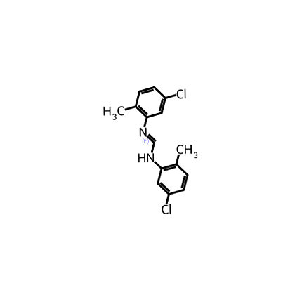 Cc1ccc(Cl)cc1/N=C/Nc1cc(Cl)ccc1C